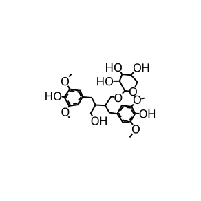 COc1cc(CC(CO)C(COC2OCC(O)C(O)C2O)Cc2cc(OC)c(O)c(OC)c2)cc(OC)c1O